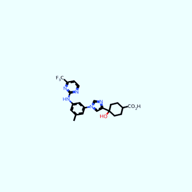 Cc1cc(Nc2nccc(C(F)(F)F)n2)cc(-n2cnc(C3(O)CCC(C(=O)O)CC3)c2)c1